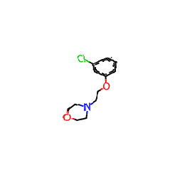 Clc1[c]ccc(OCCN2CCOCC2)c1